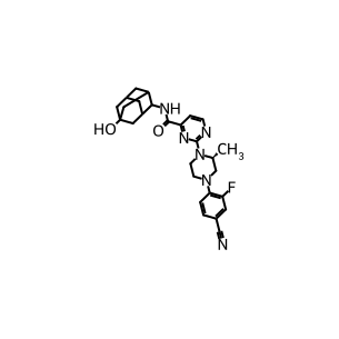 C[C@H]1CN(c2ccc(C#N)cc2F)CCN1c1nccc(C(=O)NC2C3CC4CC2CC(O)(C4)C3)n1